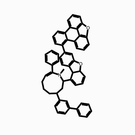 CN1/C(c2ccccc2)=C\CCCC(c2cccc(-c3ccccc3)c2)CC1C1=CC=CC2Oc3cc(-c4cccc5c6cccc7oc8cccc(c45)c8c76)ccc3C12